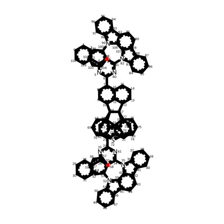 c1ccc(-c2nc(-c3ccc4c5c(cccc35)C35c6cccc7c(-c8nc(-c9ccccc9)nc(-n9c%10ccccc%10c%10ccc%11c%12ccccc%12n(-c%12ccccc%12)c%11c%109)n8)ccc(c67)C43c3cccc4sc6cccc5c6c34)nc(-n3c4ccccc4c4ccc5c6ccccc6n(-c6ccccc6)c5c43)n2)cc1